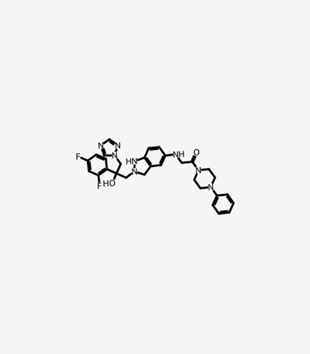 O=C(CNc1ccc2c(c1)CN(CC(O)(Cn1cncn1)c1ccc(F)cc1F)N2)N1CCN(c2ccccc2)CC1